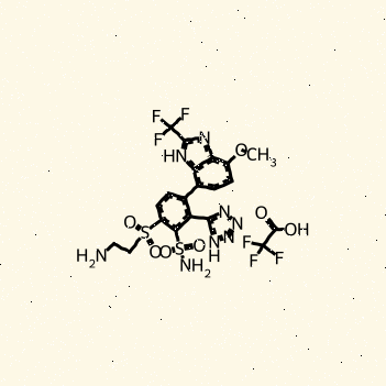 COc1ccc(-c2ccc(S(=O)(=O)CCN)c(S(N)(=O)=O)c2-c2nnn[nH]2)c2[nH]c(C(F)(F)F)nc12.O=C(O)C(F)(F)F